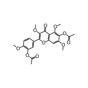 COc1ccc(-c2oc3cc(OC)c(OC(C)=O)c(OC)c3c(=O)c2OC)cc1OC(C)=O